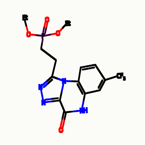 CCOP(=O)(CCc1nnc2c(=O)[nH]c3cc(C(F)(F)F)ccc3n12)OCC